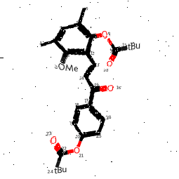 COc1c(C)cc(C)c(OC(=O)C(C)(C)C)c1C=CC(=O)c1ccc(OC(=O)C(C)(C)C)cc1